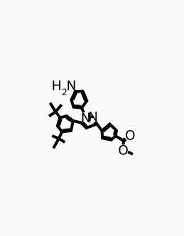 COC(=O)c1ccc(-c2cc(-c3cc(C(C)(C)C)cc(C(C)(C)C)c3)n(-c3ccc(N)cc3)n2)cc1